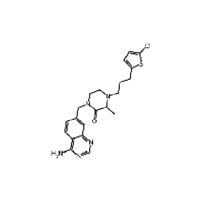 CC1C(=O)N(Cc2ccc3c(N)ncnc3c2)CCN1CCCc1ccc(Cl)s1